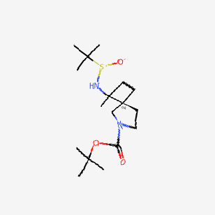 CC(C)(C)OC(=O)N1CC[C@@]2(CCC2(C)N[S+]([O-])C(C)(C)C)C1